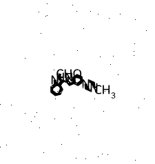 CN1CCN(c2ccc3[nH]c(-c4c5cccccc-5nc4C=O)cc3c2)CC1